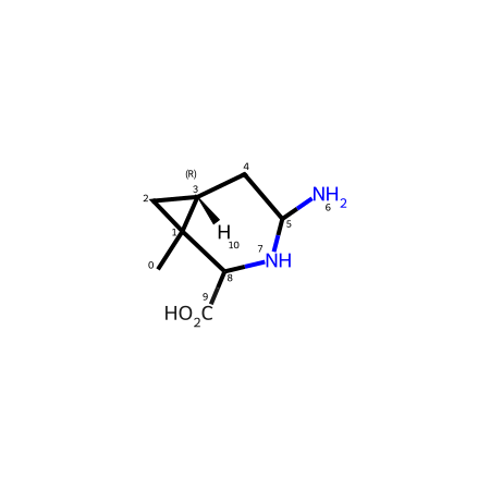 CC12C[C@@H]1CC(N)NC2C(=O)O